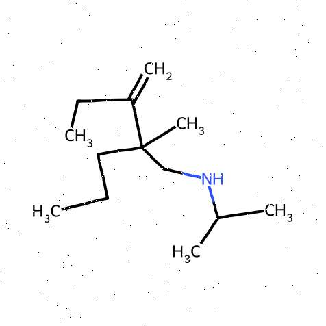 C=C(CC)C(C)(CCC)CNC(C)C